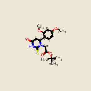 COc1ccc(-c2cc(=O)[nH]c(=S)n2CC(=O)OC(C)(C)C)c(OC)c1